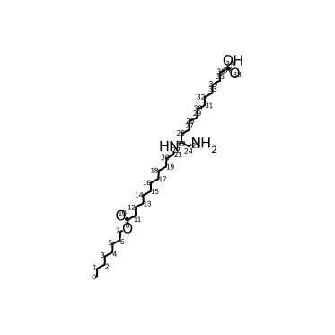 CCCCCCCCOC(=O)CCCCCCCCCCCNC(CN)CCCCCCCCCCCC(=O)O